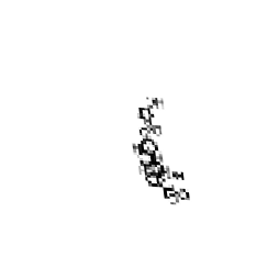 C[C@]12CC[C@H](OC(=O)N3CCC(O)C3)C[C@H]1CC[C@@H]1[C@@H]2C[C@@H](O)[C@]2(C)[C@@H](C3=CC(=O)OC3)CC[C@]12O